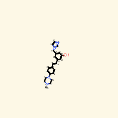 CC(=O)N1CCN(c2ccc(C=Cc3cc(O)cc(Cn4ccnc4)c3)cc2)CC1